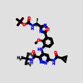 BC(B)(B)NC(=O)c1nnc(NC(=O)C2CC2)cc1Nc1cccc(-c2nc([C@@H](C)NC(=O)OC(C)(C)C)no2)c1OC